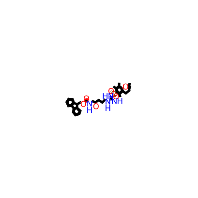 Cc1c(C)c(S(=O)(=O)NC(=N)NCCCC(=O)CNC(=O)OCC2c3ccccc3-c3ccccc32)c(C)c2c1OC(C)(C)CC2